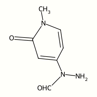 Cn1ccc(N(N)C=O)cc1=O